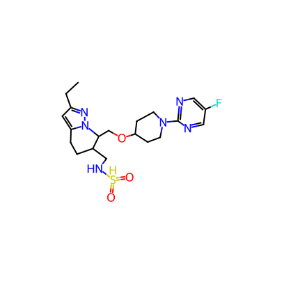 CCc1cc2n(n1)C(COC1CCN(c3ncc(F)cn3)CC1)C(CN[SH](=O)=O)CC2